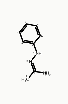 CC(N)=NNc1ccccc1